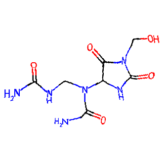 NC(=O)NCN(C(N)=O)C1NC(=O)N(CO)C1=O